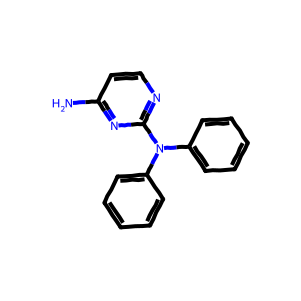 Nc1ccnc(N(c2ccccc2)c2ccccc2)n1